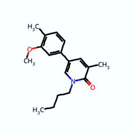 CCCCn1cc(-c2ccc(C)c(OC)c2)cc(C)c1=O